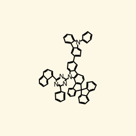 c1ccc(-c2nc(-c3cccc4ccccc34)nc(-n3c4ccc(-c5ccc6c(c5)c5ccccc5n6-c5ccccc5)cc4c4ccc5c(c43)-c3ccccc3C53c4ccccc4-c4ccccc43)n2)cc1